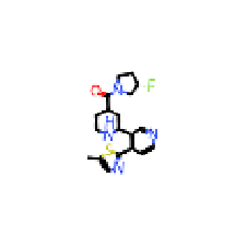 Cc1cnc(-c2ccncc2C2CC(C(=O)N3CC[C@H](F)C3)CCN2)s1